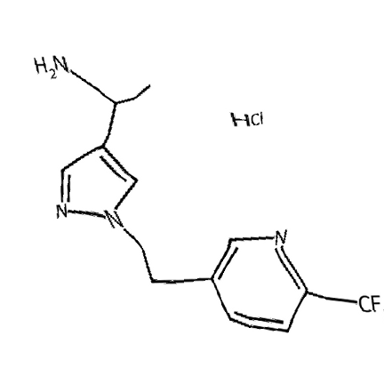 CC(N)c1cnn(Cc2ccc(C(F)(F)F)nc2)c1.Cl